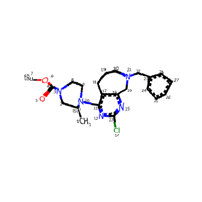 C[C@H]1CN(C(=O)OC(C)(C)C)CCN1c1nc(Cl)nc2c1CCCN(Cc1ccccc1)C2